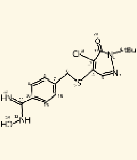 CC(C)(C)n1ncc(SCc2ccc(C(=N)NO)cc2)c(Cl)c1=O